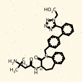 CC(C)(N)CC(=O)N[C@@H]1CCc2ccccc2N(Cc2ccc(-c3ccccc3-c3nnnn3CC(=O)O)cc2)C1=O